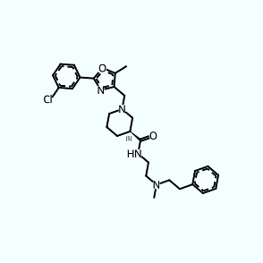 Cc1oc(-c2cccc(Cl)c2)nc1CN1CCC[C@H](C(=O)NCCN(C)CCc2ccccc2)C1